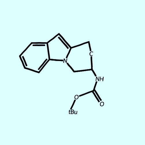 CC(C)(C)OC(=O)NC1CCc2cc3ccccc3n2C1